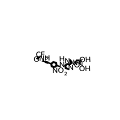 O=C(NCC#Cc1ccc(CNc2ccnc3c2ncn3[C@H]2C[C@@H](O)[C@@H](CO)O2)c([N+](=O)[O-])c1)C(F)(F)F